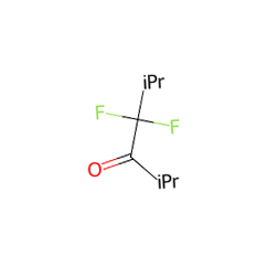 CC(C)C(=O)C(F)(F)C(C)C